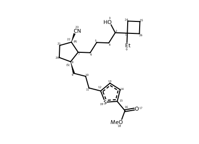 CCC1(C(O)CCCC2[C@@H](CCCc3ccc(C(=O)OC)s3)CC[C@H]2C#N)CCC1